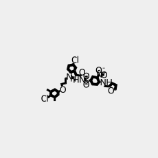 Cc1cc(OCCCn2nc(C(=O)NS(=O)(=O)c3ccc(NCc4ccco4)c([N+](=O)[O-])c3)c3cc(Cl)ccc32)cc(C)c1Cl